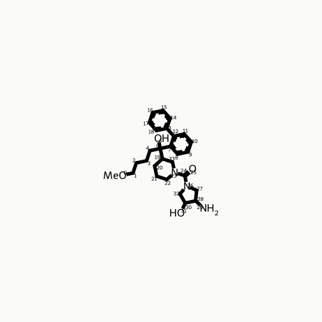 COCCCCC(O)(c1ccccc1-c1ccccc1)C1CCCN(C(=O)N2CC(N)C(O)C2)C1